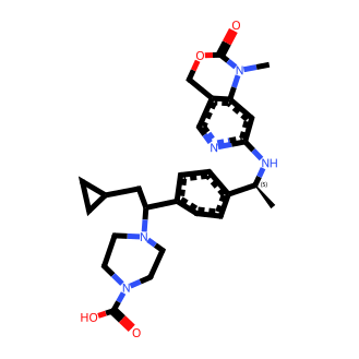 C[C@H](Nc1cc2c(cn1)COC(=O)N2C)c1ccc(C(CC2CC2)N2CCN(C(=O)O)CC2)cc1